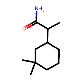 CC(C(N)=O)C1CCCC(C)(C)C1